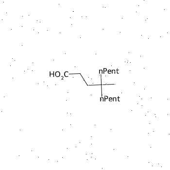 CCCCCC(C)(CCCCC)CCC(=O)O